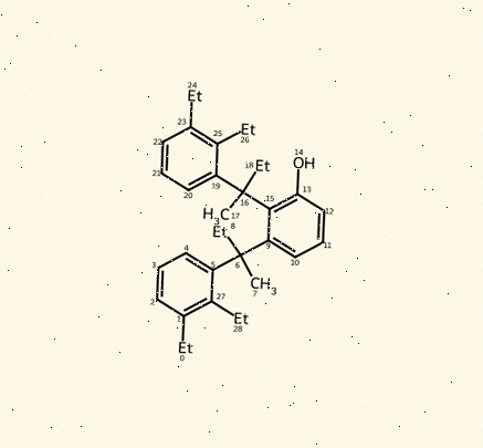 CCc1cccc(C(C)(CC)c2cccc(O)c2C(C)(CC)c2cccc(CC)c2CC)c1CC